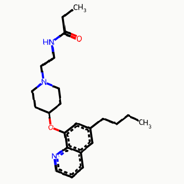 CCCCc1cc(OC2CCN(CCNC(=O)CC)CC2)c2ncccc2c1